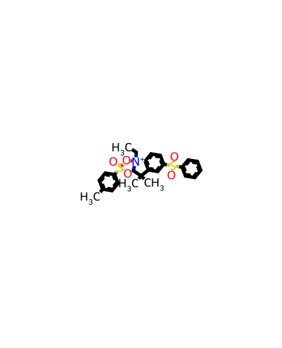 CC[N+]1(OS(=O)(=O)c2ccc(C)cc2)CC(C)(C)c2cc(S(=O)(=O)c3ccccc3)ccc21